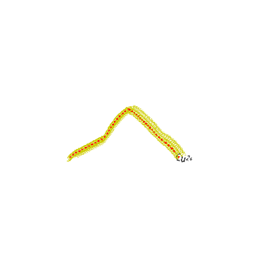 [Cu+2].[S-2].[S-2].[S-2].[S-2].[S-2].[S-2].[S-2].[S-2].[S-2].[S-2].[S-2].[S-2].[S-2].[S-2].[S-2].[S-2].[S-2].[S-2].[S-2].[S-2].[S-2].[S-2].[S-2].[S-2].[S-2].[S-2].[S-2].[S-2].[S-2].[S-2].[S-2].[S-2].[S-2].[S-2].[S-2].[S-2].[S-2].[S-2].[S-2].[S-2].[S-2].[S-2].[S-2].[S-2].[S-2].[S-2].[S-2].[S-2].[S-2].[S-2].[S-2].[S-2].[S-2].[S-2].[S-2].[S-2].[S-2].[S-2].[S-2].[S-2].[S-2].[S-2].[S-2].[S-2].[S-2].[S-2].[S-2].[S-2].[S-2].[S-2].[S-2].[S-2].[S-2].[S-2].[S-2].[S-2].[S-2].[S-2].[S-2].[S-2].[S-2].[S-2].[S-2].[S-2].[S-2].[S-2]